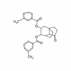 Cc1cccc(C(=O)OC2CC34CCC(=O)C3C(CC4)C2OC(=O)c2cccc(C)c2)c1